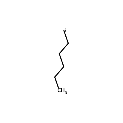 [C]CCCCC